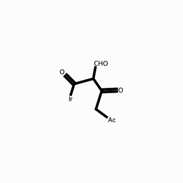 CC(=O)CC(=O)C(C=O)[C](=O)[Ir]